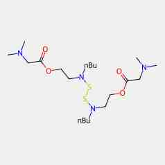 CCCCN(CCOC(=O)CN(C)C)SSN(CCCC)CCOC(=O)CN(C)C